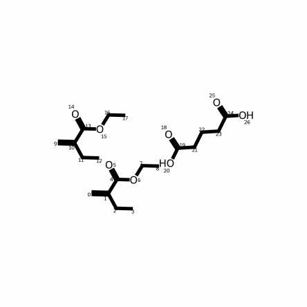 C=C(CC)C(=O)OCC.C=C(CC)C(=O)OCC.O=C(O)CCCC(=O)O